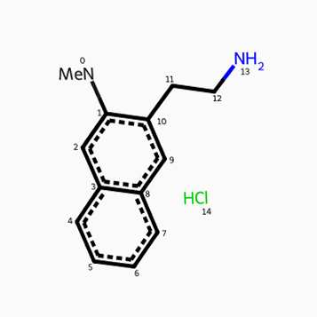 CNc1cc2ccccc2cc1CCN.Cl